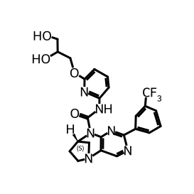 O=C(Nc1cccc(OCC(O)CO)n1)N1c2nc(-c3cccc(C(F)(F)F)c3)ncc2N2CC[C@H]1C2